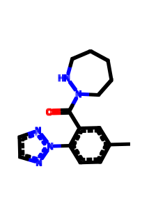 Cc1ccc(-n2nccn2)c(C(=O)N2CCCCCN2)c1